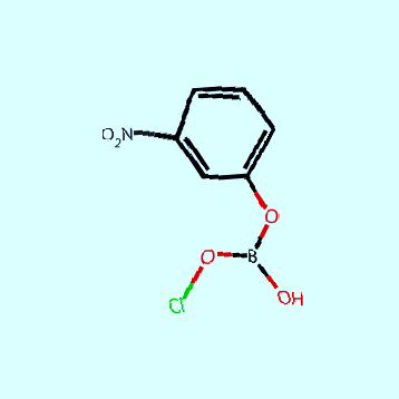 O=[N+]([O-])c1cccc(OB(O)OCl)c1